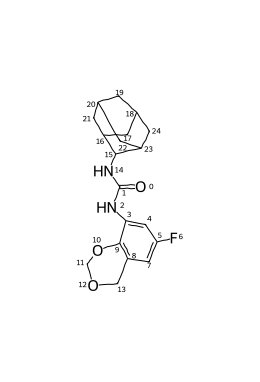 O=C(Nc1cc(F)cc2c1OCOC2)NC1C2CC3CC(C2)CC1C3